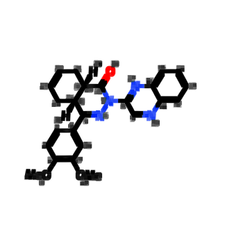 COc1ccc(C2=NN(c3cnc4ccccc4n3)C(=O)[C@H]3CC=CC[C@@H]23)cc1OC